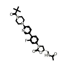 CC(=O)NC[C@H]1CN(c2ccc(-c3ccc(N4CCN(C(=O)C(C)(C)C)CC4)nc3)c(F)c2)C(=O)O1